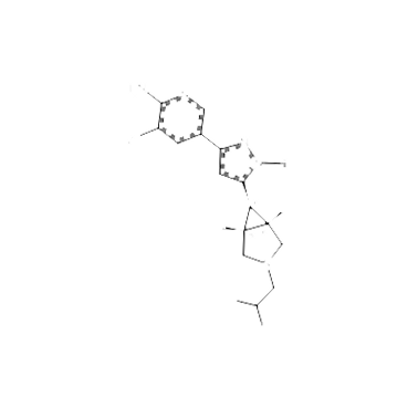 CC(C)n1nc(-c2cnc(N)c(C(F)(F)F)c2)cc1[C@H]1[C@@H]2CN(CC(F)F)C[C@@H]21